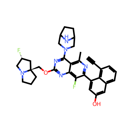 C#Cc1cccc2cc(O)cc(-c3nc(C)c4c(N5CC6CCC(C5)N6)nc(OC[C@@]56CCCN5C[C@H](F)C6)nc4c3F)c12